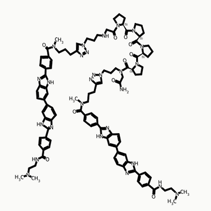 CN(C)CCNC(=O)c1ccc(-c2nc3ccc(-c4ccc5nc(-c6ccc(C(=O)N(C)CCCc7cn(CCCNCC(=O)N8CCC[C@H]8C(=O)N8CCC[C@H]8C(=O)N8CCC[C@H]8C(=O)N8CCC[C@H]8C(=O)N(CCCn8cc(CCCN(C)C(=O)c9ccc(-c%10nc%11ccc(-c%12ccc%13nc(-c%14ccc(C(=O)NCCN(C)C)cc%14)[nH]c%13c%12)cc%11[nH]%10)cc9)nn8)CC(N)=O)nn7)cc6)[nH]c5c4)cc3[nH]2)cc1